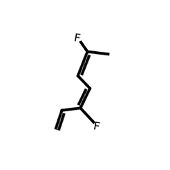 C=C/C(F)=C\C=C(/C)F